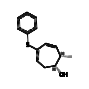 C[C@H]1C=CC(Sc2ccccc2)=CC[C@H]1O